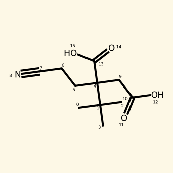 CC(C)(C)C(CCC#N)(CC(=O)O)C(=O)O